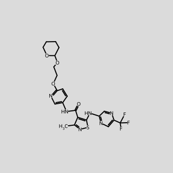 Cc1nsc(Nc2cnc(C(F)(F)F)cn2)c1C(=O)Nc1ccc(OCCOC2CCCCO2)nc1